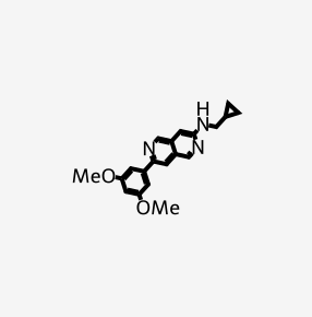 COc1cc(OC)cc(-c2cc3cnc(NCC4CC4)cc3cn2)c1